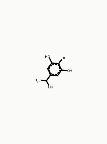 CC(O)c1cc(O)c(O)c(O)c1